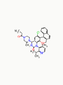 C=CC(=O)N1CCN(c2nc(=O)n(-c3c(C)ccnc3C(C)C)c3c4c(c(Cl)cc23)-c2c(ccc3ccccc23)CO4)[C@@H](C)C1